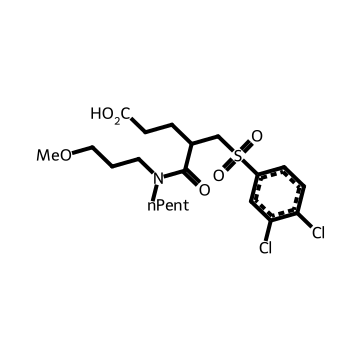 CCCCCN(CCCOC)C(=O)C(CCC(=O)O)CS(=O)(=O)c1ccc(Cl)c(Cl)c1